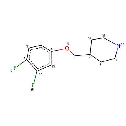 Fc1ccc(OCC2CC[N]CC2)cc1F